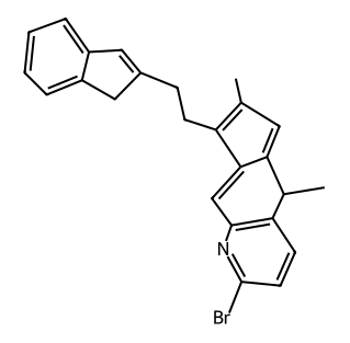 CC1=C(CCC2=Cc3ccccc3C2)C2=Cc3nc(Br)ccc3C(C)C2=C1